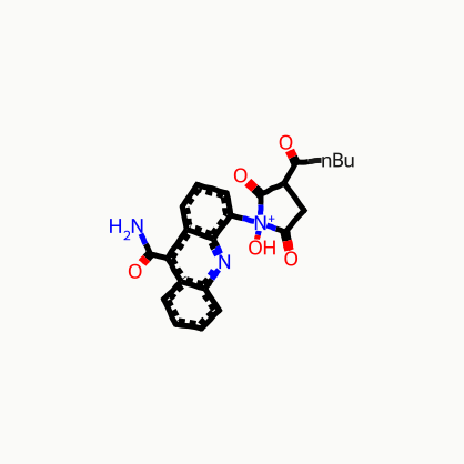 CCCCC(=O)C1CC(=O)[N+](O)(c2cccc3c(C(N)=O)c4ccccc4nc23)C1=O